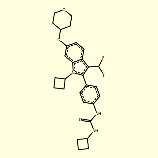 O=C(Nc1ccc(-c2c(C(F)F)c3ccc(OC4CCOCC4)cc3n2C2CCC2)cc1)NC1CCC1